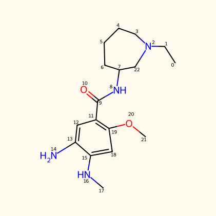 CCN1CCCCC(NC(=O)c2cc(N)c(NC)cc2OC)C1